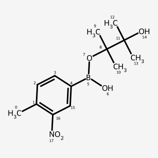 Cc1ccc(B(O)OC(C)(C)C(C)(C)O)cc1[N+](=O)[O-]